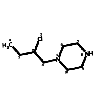 CCC(Cl)CN1CCNCC1